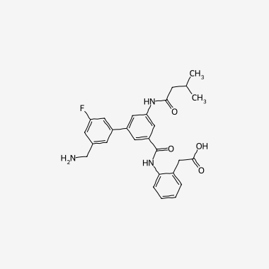 CC(C)CC(=O)Nc1cc(C(=O)Nc2ccccc2CC(=O)O)cc(-c2cc(F)cc(CN)c2)c1